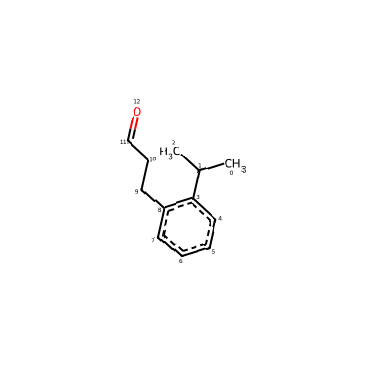 CC(C)c1ccccc1CC[C]=O